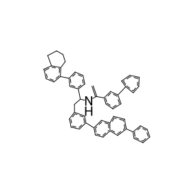 C=C(NC(Cc1cccc(-c2ccc3cc(-c4ccccc4)ccc3c2)c1)c1cccc(-c2cccc3c2CCCC3)c1)c1cccc(-c2ccccc2)c1